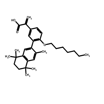 C=C(C(=O)O)c1ccc(OCCCCCCC)c(-c2cc3c(cc2C)C(C)(C)CCC3(C)C)c1